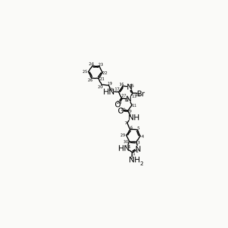 Nc1nc2ccc(CNC(=O)Cn3c(Br)ncc(NCCc4ccccc4)c3=O)cc2[nH]1